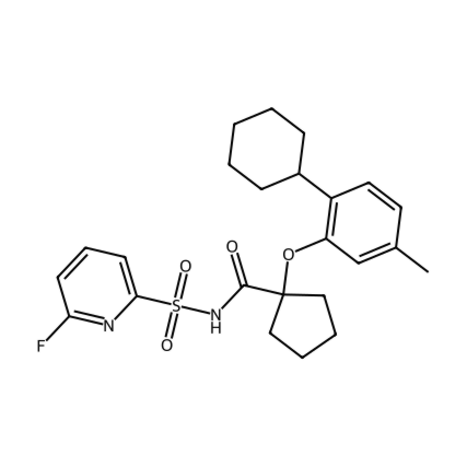 Cc1ccc(C2CCCCC2)c(OC2(C(=O)NS(=O)(=O)c3cccc(F)n3)CCCC2)c1